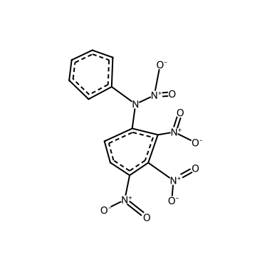 O=[N+]([O-])c1ccc(N(c2ccccc2)[N+](=O)[O-])c([N+](=O)[O-])c1[N+](=O)[O-]